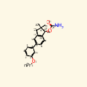 CCCOc1cccc(-c2ccc3c(c2)CC(C)(C)C3OC(N)=O)c1